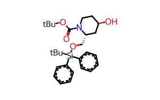 CC(C)(C)OC(=O)N1CC[C@@H](O)C[C@@H]1CO[Si](c1ccccc1)(c1ccccc1)C(C)(C)C